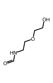 O=[C]NCCOCCO